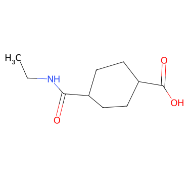 CCNC(=O)C1CCC(C(=O)O)CC1